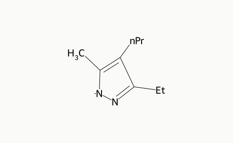 CCCC1=C(C)[N]N=C1CC